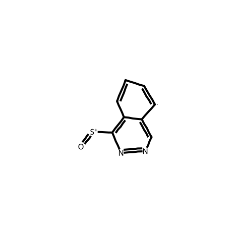 O=[S+]c1nncc2[c]cccc12